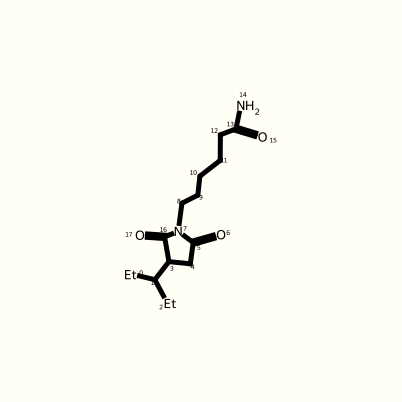 CCC(CC)C1CC(=O)N(CCCCCC(N)=O)C1=O